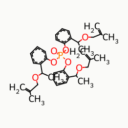 C=C(C)COC(C)c1ccccc1OP(=O)(Oc1ccccc1C(C)OCC(=C)C)Oc1ccccc1C(C)OCC(=C)C